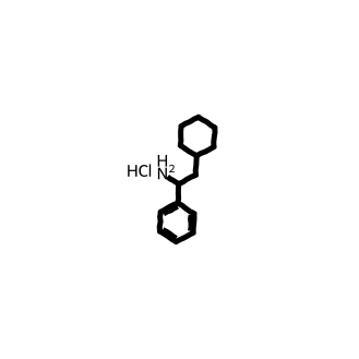 Cl.NC(CC1CCCCC1)c1ccccc1